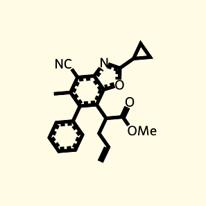 C=CCC(C(=O)OC)c1c(-c2ccccc2)c(C)c(C#N)c2nc(C3CC3)oc12